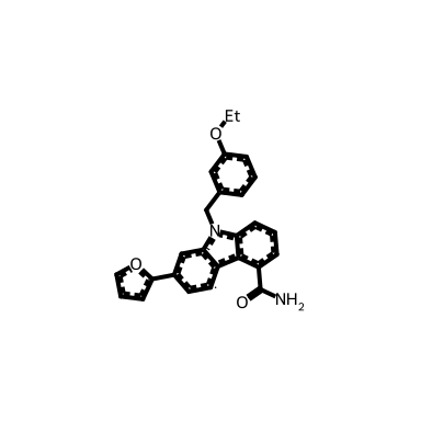 CCOc1cccc(Cn2c3cc(-c4ccco4)c[c]c3c3c(C(N)=O)cccc32)c1